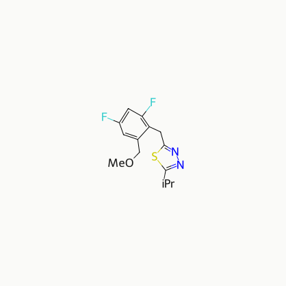 COCc1cc(F)cc(F)c1Cc1nnc(C(C)C)s1